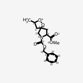 COC(=O)C1CC2(CC(C)OO2)CN1C(=O)OCc1ccccc1